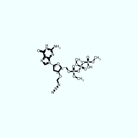 COP(=O)(O)OP(=O)(OC)OP(=O)(OC)OC[C@H]1O[C@@H](n2cnc3c(=O)[nH]c(N)nc32)C[C@@H]1OCN=[N+]=[N-]